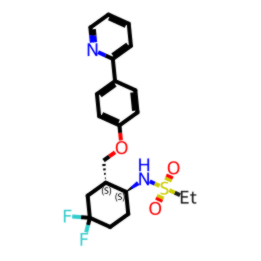 CCS(=O)(=O)N[C@H]1CCC(F)(F)C[C@@H]1COc1ccc(-c2ccccn2)cc1